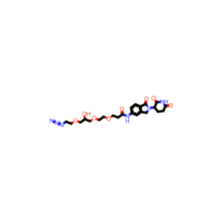 [N-]=[N+]=NCCOCC(O)COCCOCCC(=O)Nc1ccc2c(c1)CN(C1CCC(=O)NC1=O)C2=O